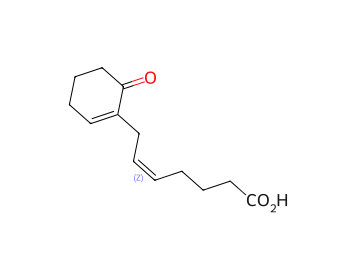 O=C(O)CCC/C=C\CC1=CCCCC1=O